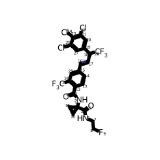 O=C(NC1(C(=O)NCCF)CC1)c1ccc(/C=C/C(c2cc(Cl)c(Cl)c(Cl)c2)C(F)(F)F)cc1C(F)(F)F